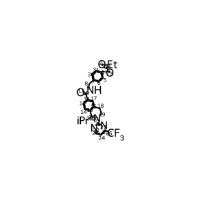 CCS(=O)(=O)c1ccc(CNC(=O)c2ccc3c(c2)CCN(c2nccc(C(F)(F)F)n2)C3C(C)C)cc1